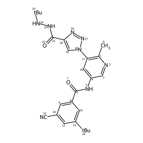 Cc1ncc(NC(=O)c2cc(C#N)cc(C(C)(C)C)c2)cc1-n1cc(C(=O)NNC(C)(C)C)nn1